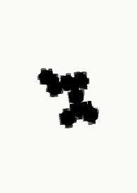 C1=CC2Sc3c(-c4ccc5c6ccccc6n(-c6ccc(C7N=C(c8ccccc8)C=C(c8ccccc8)N7)cc6)c5c4)cccc3C2C=C1